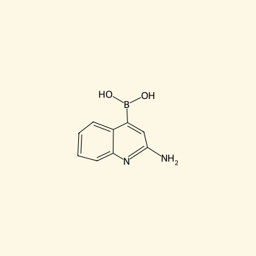 Nc1cc(B(O)O)c2ccccc2n1